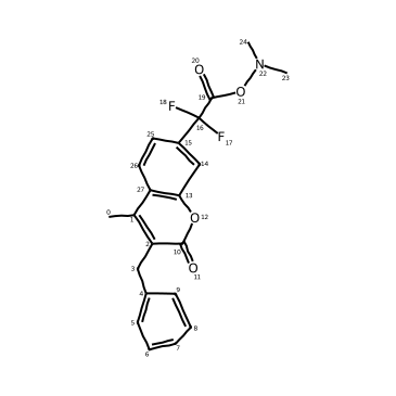 Cc1c(Cc2ccccc2)c(=O)oc2cc(C(F)(F)C(=O)ON(C)C)ccc12